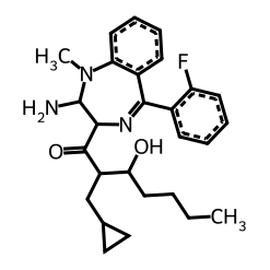 CCCCC(O)C(CC1CC1)C(=O)C1N=C(c2ccccc2F)c2ccccc2N(C)C1N